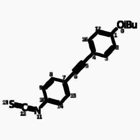 CC(C)COc1ccc(C#Cc2ccc(N=C=S)cc2)cc1